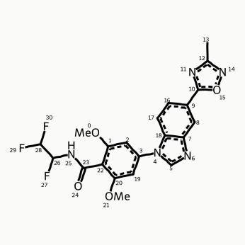 COc1cc(-n2cnc3cc(-c4nc(C)no4)ccc32)cc(OC)c1C(=O)NC(F)C(F)F